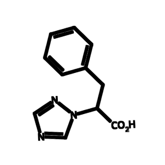 O=C(O)C(Cc1ccccc1)n1cncn1